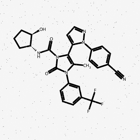 Cc1c(-c2ccnn2-c2ccc(C#N)cc2)n(C(=O)N[C@@H]2CCC[C@H]2O)c(=O)n1-c1cccc(C(F)(F)F)c1